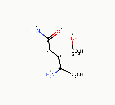 NC(=O)CCC(N)C(=O)O.O=C(O)O